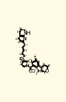 COc1c(F)cc(C2CCOCC2)cc1C(C(=O)O)N1CC[C@@H](OCCCCCc2ccc3c(n2)NCCC3)C1